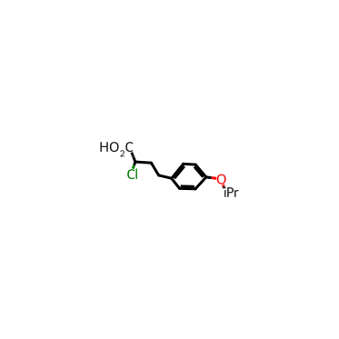 CC(C)Oc1ccc(CCC(Cl)C(=O)O)cc1